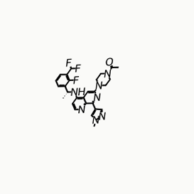 CC(=O)N1CCN(c2cc3c(N[C@H](C)c4cccc(C(F)F)c4F)ccnc3c(-c3cnn(C)c3)n2)CC1